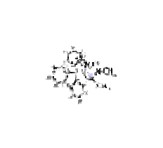 C=CN(/C=C(/C)N(C)C)C(c1ccccc1)(c1ccccc1)c1ccccc1